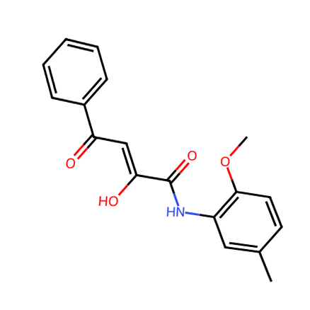 COc1ccc(C)cc1NC(=O)/C(O)=C/C(=O)c1ccccc1